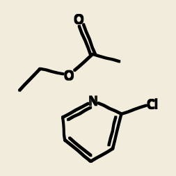 CCOC(C)=O.Clc1ccccn1